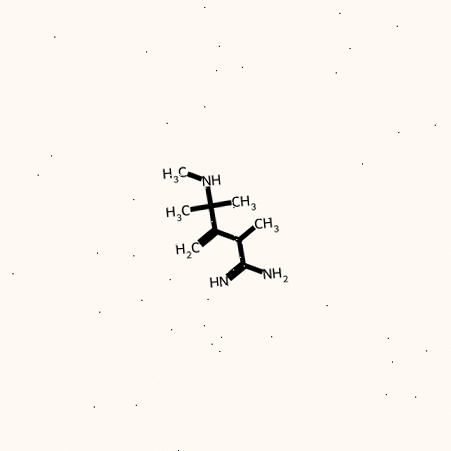 C=C(C(C)C(=N)N)C(C)(C)NC